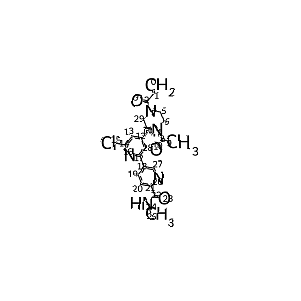 C=CC(=O)N1CCN(C(C)=O)[C@H](c2cc(Cl)nc(-c3ccc(C(=O)NC)nc3)c2)C1